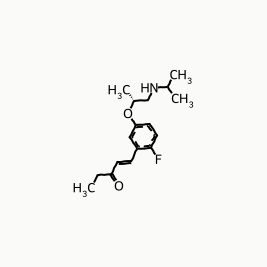 CCC(=O)/C=C/c1cc(O[C@H](C)CNC(C)C)ccc1F